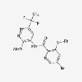 CCSc1cc(Br)cnc1C(=O)Nc1cc(C(F)(F)C(F)(F)F)nnc1NC